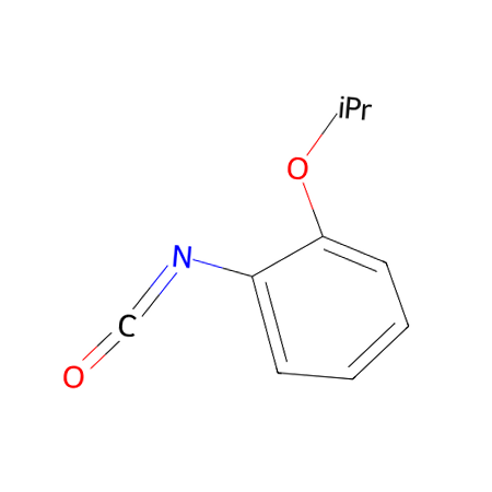 CC(C)Oc1ccccc1N=C=O